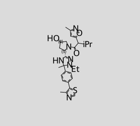 CCN1N=C([C@@H]2C[C@@H](O)CN2C(=O)C(c2cc(C)no2)C(C)C)NC1(C)c1ccc(-c2scnc2C)cc1